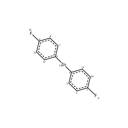 Fc1cc[c]([Zn][c]2ccc(F)cc2)cc1